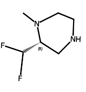 CN1CCNC[C@@H]1C(F)F